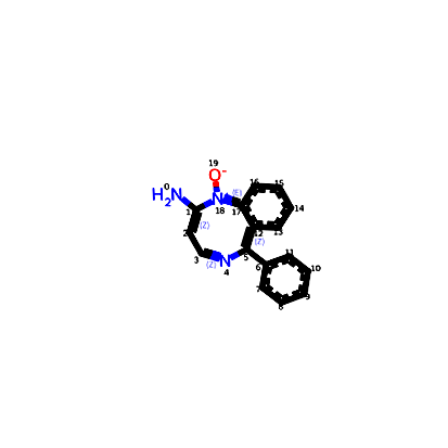 NC1=C/C=N\C(c2ccccc2)=c2\cccc\c2=[N+]\1[O-]